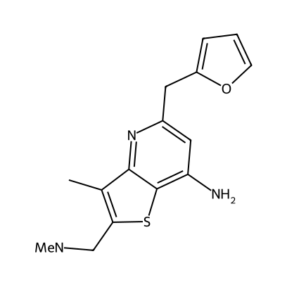 CNCc1sc2c(N)cc(Cc3ccco3)nc2c1C